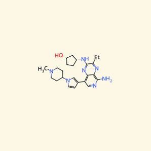 CCc1nc2c(N)ncc(-c3ccn(C4CCN(C)CC4)c3)c2nc1N[C@@H]1CC[C@H](O)C1